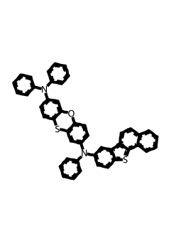 c1ccc(N(c2ccccc2)c2ccc3c(c2)Oc2ccc(N(c4ccccc4)c4ccc5sc6c7ccccc7ccc6c5c4)cc2S3)cc1